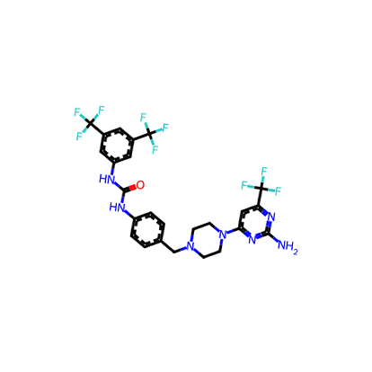 Nc1nc(N2CCN(Cc3ccc(NC(=O)Nc4cc(C(F)(F)F)cc(C(F)(F)F)c4)cc3)CC2)cc(C(F)(F)F)n1